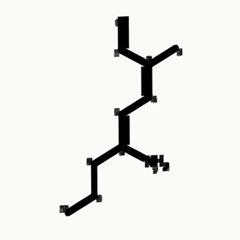 C=C/C(C)=C\C=C(/N)CCC